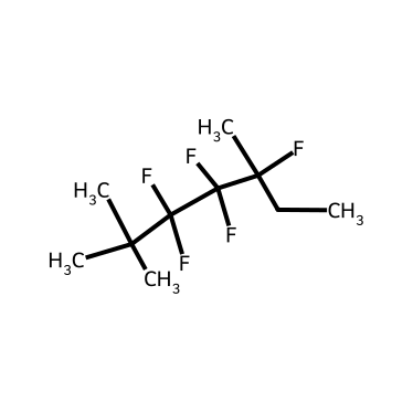 CCC(C)(F)C(F)(F)C(F)(F)C(C)(C)C